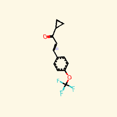 O=C(/C=C/c1ccc(OC(F)(F)F)cc1)C1CC1